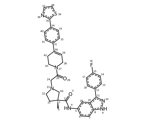 C[C@@]1(C(=O)Nc2ccc3[nH]nc(-c4ccc(F)cc4)c3c2)CCN(CC(=O)N2CC=C(c3ccc(-c4nccs4)cc3)CC2)C1